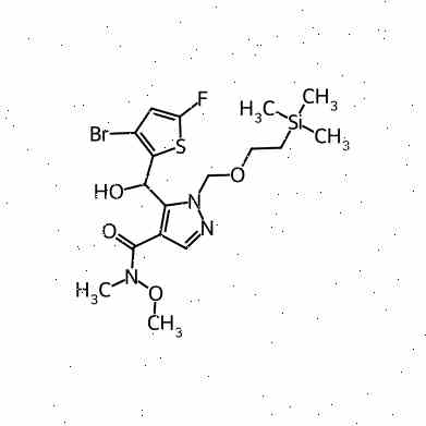 CON(C)C(=O)c1cnn(COCC[Si](C)(C)C)c1C(O)c1sc(F)cc1Br